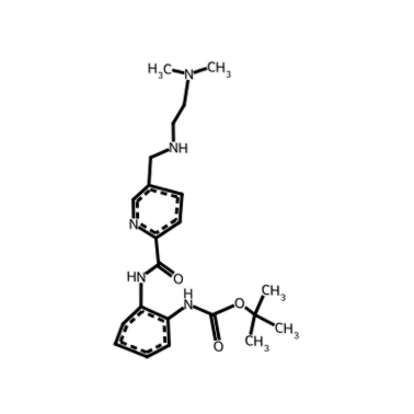 CN(C)CCNCc1ccc(C(=O)Nc2ccccc2NC(=O)OC(C)(C)C)nc1